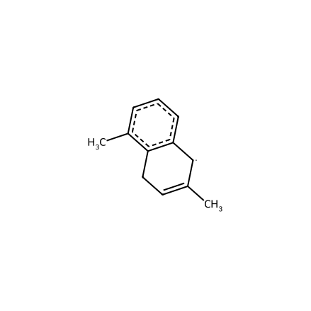 CC1=CCc2c(C)cccc2[CH]1